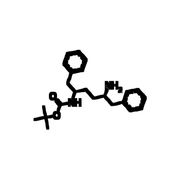 CC(C)(C)OC(=O)N[C@H](CC[C@@H](N)Cc1ccccc1)Cc1ccccc1